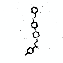 O=C(CCN1CCN(c2ccc(OCc3ccccc3)cn2)CC1)c1ccc(Cl)cc1